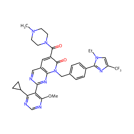 CCn1cc(C(F)(F)F)nc1-c1ccc(Cn2c(=O)c(C(=O)N3CCN(C)CC3)cc3cnc(-c4c(OC)ncnc4C4CC4)nc32)cc1